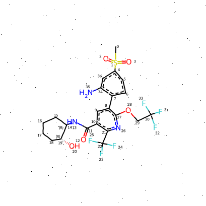 CS(=O)(=O)c1ccc(-c2cc(C(=O)N[C@@H]3CCCC[C@H]3O)c(C(F)(F)F)nc2OCC(F)(F)F)c(N)c1